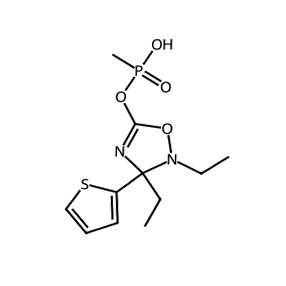 CCN1OC(OP(C)(=O)O)=NC1(CC)c1cccs1